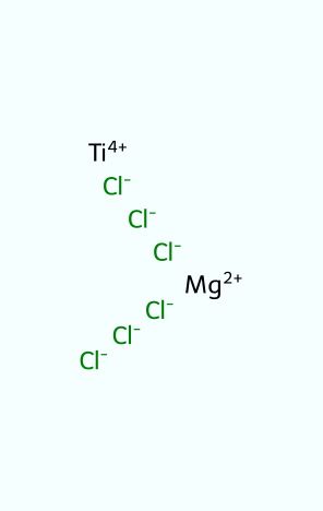 [Cl-].[Cl-].[Cl-].[Cl-].[Cl-].[Cl-].[Mg+2].[Ti+4]